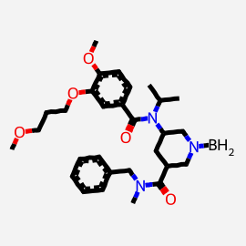 BN1CC(C(=O)N(C)Cc2ccccc2)CC(N(C(=O)c2ccc(OC)c(OCCCOC)c2)C(C)C)C1